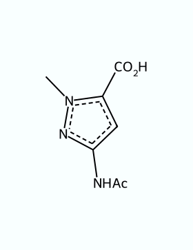 CC(=O)Nc1cc(C(=O)O)n(C)n1